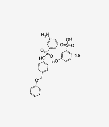 Nc1cccc(S(=O)(=O)O)c1.O=S(=O)(O)c1cccc(O)c1.[Na].c1ccc(COc2ccccc2)cc1